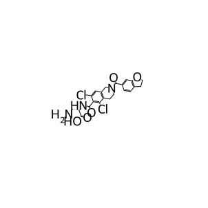 NC[C@H](NC(=O)c1c(Cl)cc2c(c1Cl)CCN(C(=O)c1ccc3c(c1)OCC3)C2)C(=O)O